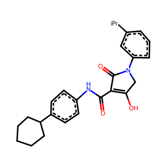 CC(C)c1cccc(N2CC(O)=C(C(=O)Nc3ccc(C4CCCCC4)cc3)C2=O)c1